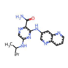 CC(C)C(C)Nc1cnc(C(N)=O)c(Nc2cnc3cccnc3c2)n1